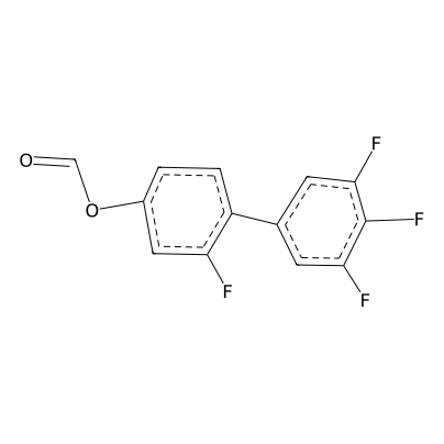 O=COc1ccc(-c2cc(F)c(F)c(F)c2)c(F)c1